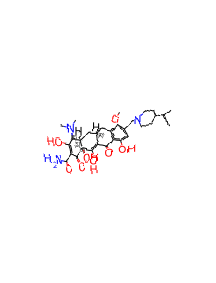 COc1c(CN2CCC(C(C)C)CC2)cc(O)c2c1C[C@H]1C[C@H]3[C@H](N(C)C)C(O)=C(C(N)=O)C(=O)[C@@]3(O)C(O)=C1C2=O